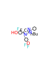 CCCCn1c(-c2ccccc2)nc(C(F)(F)F)c1CN(Cc1ccc(OC(F)F)cc1)Cc1ccc(O)c(F)c1